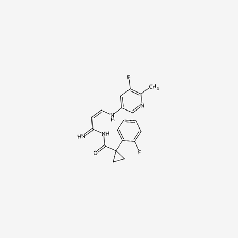 Cc1ncc(N/C=C\C(=N)NC(=O)C2(c3ccccc3F)CC2)cc1F